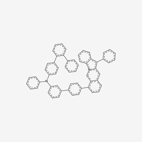 c1ccc(-c2ccccc2-c2ccc(N(c3ccccc3)c3cccc(-c4ccc(-c5cccc6cc7c(-c8ccccc8)c8ccccc8n7cc56)cc4)c3)cc2)cc1